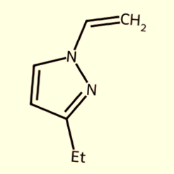 C=Cn1ccc(CC)n1